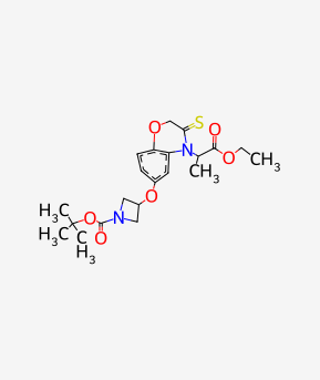 CCOC(=O)C(C)N1C(=S)COc2ccc(OC3CN(C(=O)OC(C)(C)C)C3)cc21